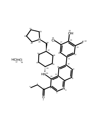 CCC(=O)c1cnc2ccc(-c3cc(F)c(O)c(Cl)c3)cc2c1N[C@H]1CC[C@H](CN2CCCC2)CC1.Cl.Cl